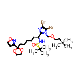 CC(C)(C)[S+]([O-])N[C@@H](CCCCCC1(c2ccon2)OCCO1)c1nc(Br)c(Br)n1COCC[Si](C)(C)C